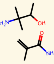 C=C(C)C(N)=O.CC(O)C(C)(C)N